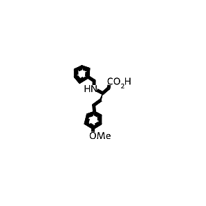 COc1ccc(CC[C@H](CC(=O)O)NCc2ccccc2)cc1